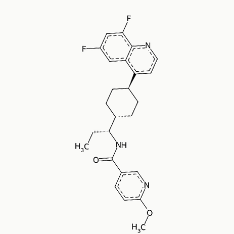 CC[C@@H](NC(=O)c1ccc(OC)nc1)[C@H]1CC[C@H](c2ccnc3c(F)cc(F)cc32)CC1